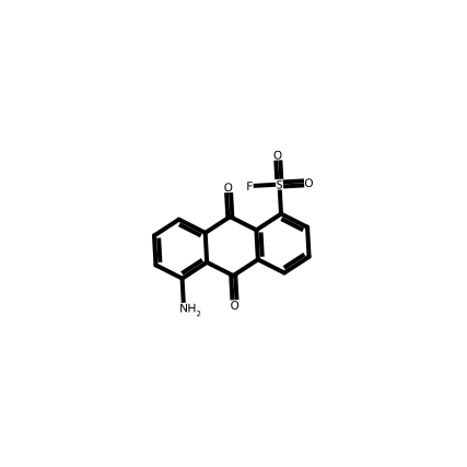 Nc1cccc2c1C(=O)c1cccc(S(=O)(=O)F)c1C2=O